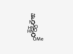 CCOCc1ccc(C(=O)NC(=O)Nc2ccc(OC)cc2)cn1